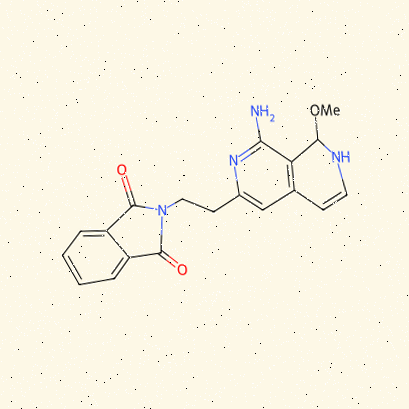 COC1NC=Cc2cc(CCN3C(=O)c4ccccc4C3=O)nc(N)c21